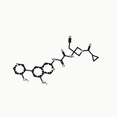 Cc1ccncc1-c1cc(N)c2cnc(NC(=O)C(=O)NC3(CC#N)CN(C(=O)C4CC4)C3)cc2c1